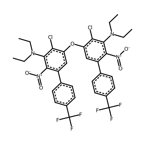 CCN(CC)c1c(Cl)c(Oc2cc(-c3ccc(C(F)(F)F)cc3)c([N+](=O)[O-])c(N(CC)CC)c2Cl)cc(-c2ccc(C(F)(F)F)cc2)c1[N+](=O)[O-]